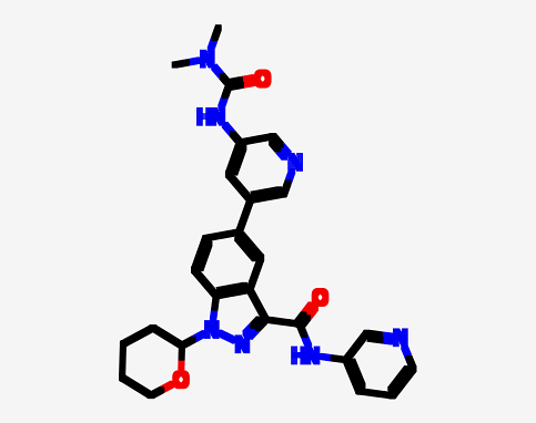 CN(C)C(=O)Nc1cncc(-c2ccc3c(c2)c(C(=O)Nc2cccnc2)nn3C2CCCCO2)c1